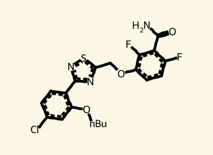 CCCCOc1cc(Cl)ccc1-c1nsc(COc2ccc(F)c(C(N)=O)c2F)n1